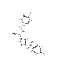 Cc1ccc(S(=O)(=O)c2ccc(C(=O)NCc3ccc(C)nn3)s2)cc1